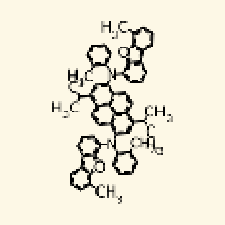 Cc1ccccc1N(c1cc(C(C)C)c2ccc3c(N(c4ccccc4C)c4cccc5c4oc4c(C)cccc45)cc(C(C)C)c4ccc1c2c43)c1cccc2c1oc1c(C)cccc12